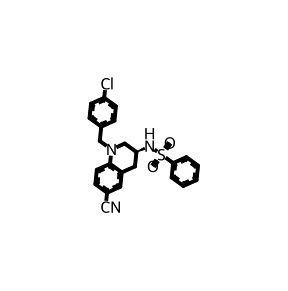 N#Cc1ccc2c(c1)C[C@H](NS(=O)(=O)c1ccccc1)CN2Cc1ccc(Cl)cc1